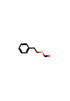 O=[C]OCCc1ccccc1